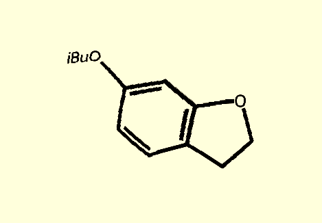 CC(C)COc1ccc2c(c1)OCC2